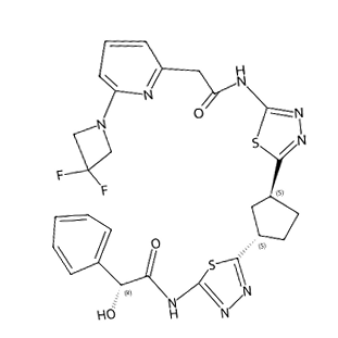 O=C(Cc1cccc(N2CC(F)(F)C2)n1)Nc1nnc([C@H]2CC[C@H](c3nnc(NC(=O)[C@H](O)c4ccccc4)s3)C2)s1